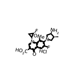 COc1c(N2C[C@@H](N)[C@@H](C)C2)c(F)cc2c(=O)c(C(=O)O)cn([C@@H]3C[C@@H]3F)c12.Cl